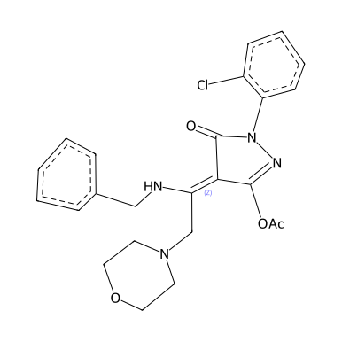 CC(=O)OC1=NN(c2ccccc2Cl)C(=O)/C1=C(/CN1CCOCC1)NCc1ccccc1